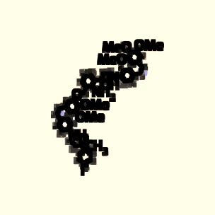 COc1cc(/C=C\c2ccc(N/C=C\C(O)c3cccc(COc4cc(/C=C\c5ccc(N/C=C\C(=O)C6(C)C=CC(F)=CC6)cc5)cc(OC)c4OC)c3N)cc2)cc(OC)c1OC